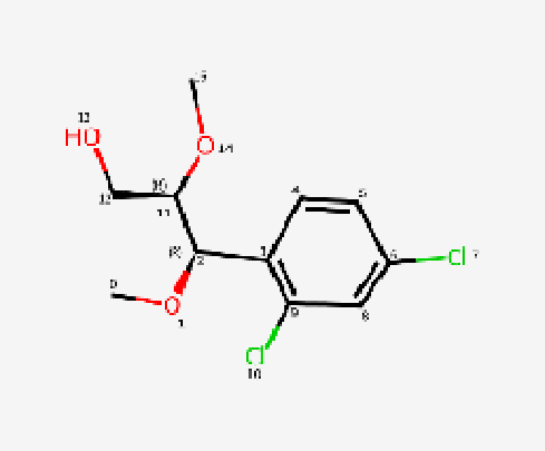 CO[C@H](c1ccc(Cl)cc1Cl)[C@@H](CO)OC